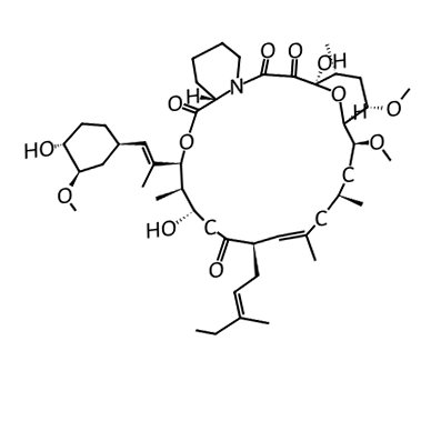 CC/C(C)=C/C[C@@H]1/C=C(\C)C[C@H](C)C[C@H](OC)[C@H]2O[C@@](O)(C(=O)C(=O)N3CCCC[C@H]3C(=O)O[C@H](/C(C)=C/[C@@H]3CC[C@@H](O)[C@H](OC)C3)[C@H](C)[C@@H](O)CC1=O)[C@H](C)C[C@@H]2OC